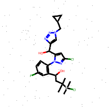 CC(C)(CC(O)c1cc(F)ccc1-n1nc(Cl)cc1C(O)c1cn(CC2CC2)nn1)[Si](C)(C)Cl